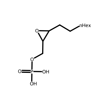 CCCCCCCCC1OC1COP(=O)(O)O